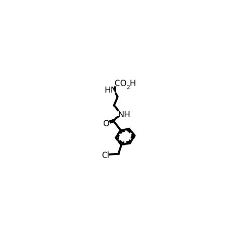 O=C(O)NCCNC(=O)c1cccc(CCl)c1